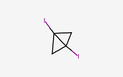 IC12CC1(I)C2